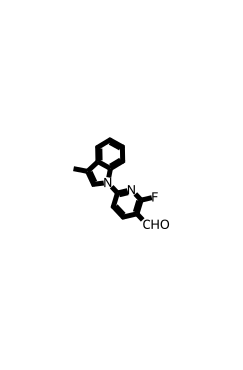 Cc1cn(-c2ccc(C=O)c(F)n2)c2ccccc12